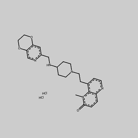 Cl.Cl.Cn1c(=O)ccc2nccc(CCN3CCC(NCc4cc5c(cn4)OCCO5)CC3)c21